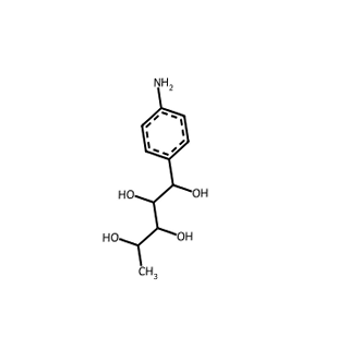 CC(O)C(O)C(O)C(O)c1ccc(N)cc1